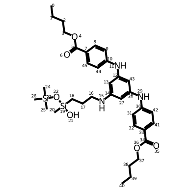 CCCCOC(=O)c1ccc(Nc2cc(NCCC[Si](C)(O)O[Si](C)(C)C)cc(Nc3ccc(C(=O)OCCCC)cc3)c2)cc1